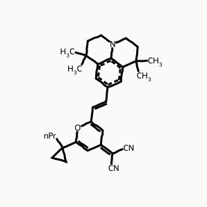 CCCC1(C2=CC(=C(C#N)C#N)C=C(/C=C/c3cc4c5c(c3)C(C)(C)CCN5CCC4(C)C)O2)CC1